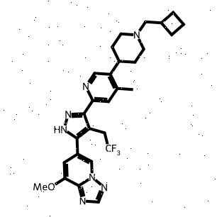 COc1cc(-c2[nH]nc(-c3cc(C)c(C4CCN(CC5CCC5)CC4)cn3)c2CC(F)(F)F)cn2ncnc12